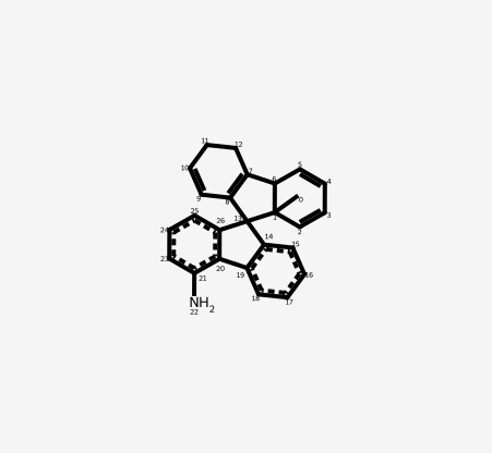 CC12C=CC=CC1C1=C(C=CCC1)C21c2ccccc2-c2c(N)cccc21